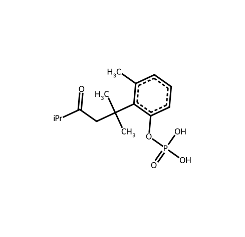 Cc1cccc(OP(=O)(O)O)c1C(C)(C)CC(=O)C(C)C